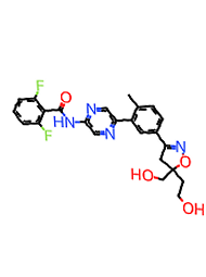 Cc1ccc(C2=NOC(CO)(CCO)C2)cc1-c1cnc(NC(=O)c2c(F)cccc2F)cn1